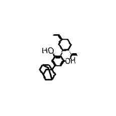 C=C(C)[C@H]1CCC(=CC)C[C@@H]1c1c(O)cc(C23CC4CC(CC(C4)C2)C3)cc1O